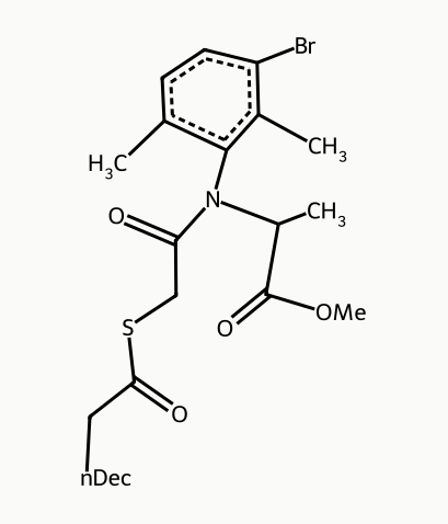 CCCCCCCCCCCC(=O)SCC(=O)N(c1c(C)ccc(Br)c1C)C(C)C(=O)OC